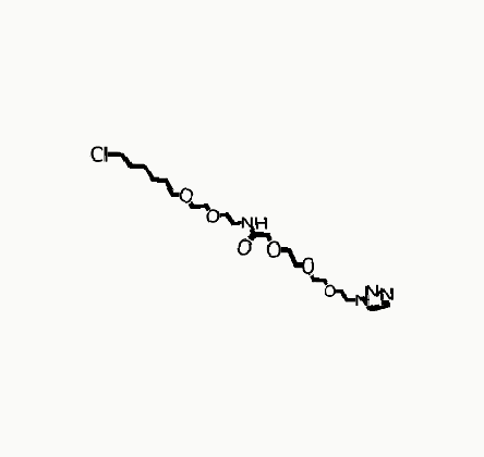 O=C(COCCOCCOCCn1ccnn1)NCCOCCOCCCCCCCl